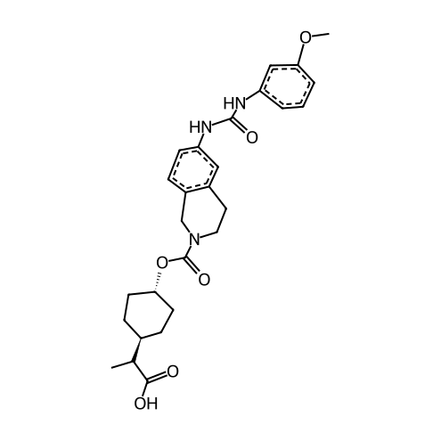 COc1cccc(NC(=O)Nc2ccc3c(c2)CCN(C(=O)O[C@H]2CC[C@H](C(C)C(=O)O)CC2)C3)c1